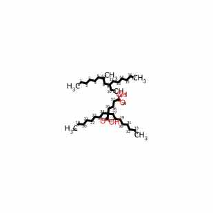 CCCCCCC(C)CC(CC)CCCCCC.CCCCCCCCC(CCCCCCCC)(CCCC(=O)O)C(=O)O